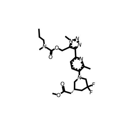 CCCN(C)C(=O)OCc1c(-c2ccc(N3C[C@@H](CC(=O)OC)CC(F)(F)C3)c(C)n2)nnn1C